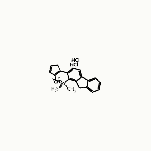 CC1=C(c2ccc3c([c]2[Zr]([CH3])([CH3])=[SiH2])Cc2ccccc2-3)CC=C1.Cl.Cl